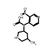 CC1CNCC(N(C(=O)O)c2ccncc2[N+](=O)[O-])C1